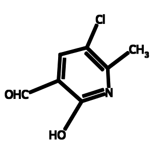 Cc1nc(O)c(C=O)cc1Cl